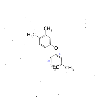 C=C(C)/C=C(\C=C/CC)Oc1ccc(C)c(C)c1